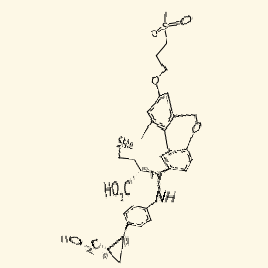 CSCC[C@@H](C(=O)O)N(Nc1ccc([C@H]2C[C@@H]2C(=O)O)cc1)c1ccc2c(c1)-c1c(C)cc(OCCCS(C)(=O)=O)cc1CO2